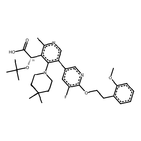 COc1ccccc1CCOc1ncc(-c2cnc(C)c([C@H](OC(C)(C)C)C(=O)O)c2N2CCC(C)(C)CC2)cc1F